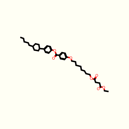 CCCCCC1CCC(c2ccc(OC(=O)c3ccc(OCCCCCCCCOC(=O)CCC(=O)OCC)cc3)cc2)CC1